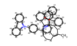 C/C1=C(/c2ccc3c(c2)C(c2ccccc2)(c2ccccc2)c2ccccc2-3)CC/C=C(c2ccc(-n3c4ccccc4c4ccccc43)cc2)\N=C(\c2ccccc2)CC1